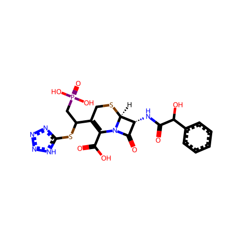 O=C(O)C1=C(C(CP(=O)(O)O)Sc2nnn[nH]2)CS[C@H]2[C@H](NC(=O)C(O)c3ccccc3)C(=O)N12